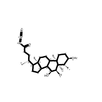 CC[C@@H]1[C@@H]2[C@@H](F)[C@H](OC(C)=O)CC[C@]2(C)C2CC[C@@]3(C)C(CCC3[C@H](C)CCC(=O)N=[N+]=[N-])C2[C@@H]1O